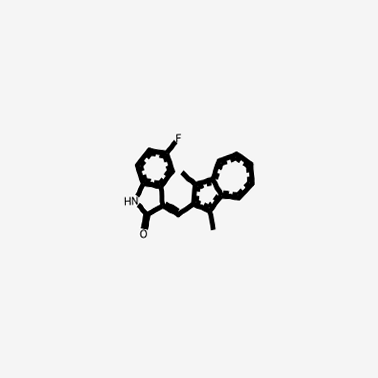 Cc1c2cccccc-2c(C)c1C=C1C(=O)Nc2ccc(F)cc21